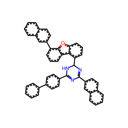 c1ccc(-c2ccc(C3=NC(c4ccc5ccccc5c4)=NC(c4cccc5oc6c(-c7ccc8ccccc8c7)cccc6c45)N3)cc2)cc1